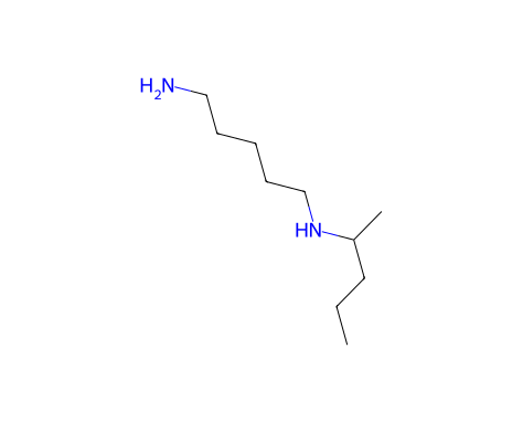 CCCC(C)NCCCCCN